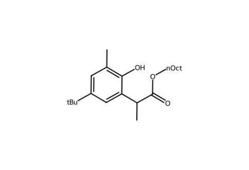 CCCCCCCCOC(=O)C(C)c1cc(C(C)(C)C)cc(C)c1O